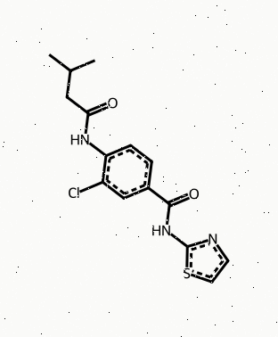 CC(C)CC(=O)Nc1ccc(C(=O)Nc2nccs2)cc1Cl